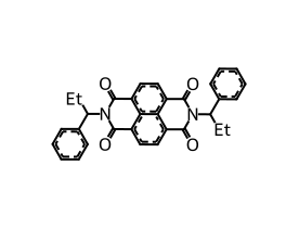 CCC(c1ccccc1)N1C(=O)c2ccc3c4c(ccc(c24)C1=O)C(=O)N(C(CC)c1ccccc1)C3=O